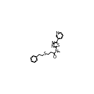 CN(C(=O)CCSCCc1ccccc1)c1nnc(-c2cccnc2)s1